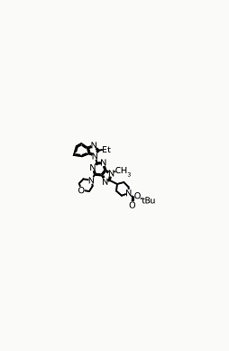 CCc1nc2ccccc2n1-c1nc(N2CCOCC2)c2nc(C3CCN(C(=O)OC(C)(C)C)CC3)n(C)c2n1